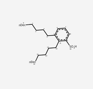 CCCCCCCCCCCCCCc1cccc(S(=O)(=O)O)c1CCCCCCCCCCCCCC